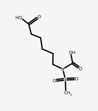 CS(=O)(=O)N(CCCCCC(=O)O)C(=O)O